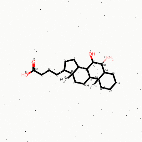 B[C@@H]1C(O)C2C3CCC(CCCC(=O)O)C3(C)CCC2C2(C)CCCCC12